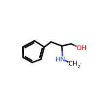 [CH2]NC(CO)Cc1ccccc1